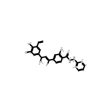 C=Cc1cc(C(C=C(F)c2ccc(C(=O)NNc3ncccn3)c(C(F)(F)F)c2)C(F)(F)F)cc(Cl)c1Cl